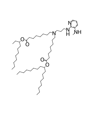 CCCCCCCCC(CC)OC(=O)CCCCCCCN(CCCCCCCC(=O)OC(CCCCCCCC)CCCCCCCC)CCCNc1ncccc1NC